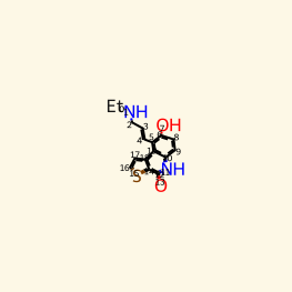 CCNCC=Cc1c(O)ccc2[nH]c(=O)c3sccc3c12